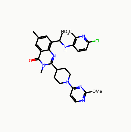 COc1nccc(N2CCC(c3nc4c(C(C)Nc5ccc(Cl)nc5C(=O)O)cc(C)cc4c(=O)n3C)CC2)n1